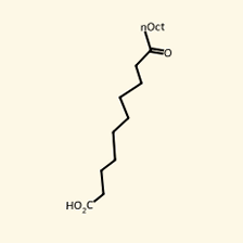 CCCCCCCCC(=O)CCCCCCCCC(=O)O